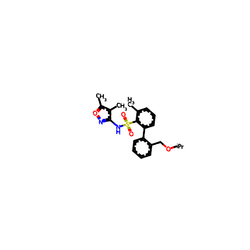 Cc1cccc(-c2ccccc2COC(C)C)c1S(=O)(=O)Nc1noc(C)c1C